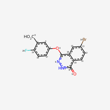 O=C(O)c1cc(Oc2n[nH]c(=O)c3ccc(Br)cc23)ccc1F